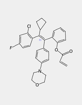 C=CC(=O)Oc1ccccc1/C(=C(/c1ccc(F)cc1Cl)C1CCC1)c1ccc(N2CCOCC2)cc1